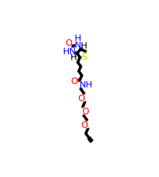 C#CCCOCCOCCOCCNC(=O)CCCCC1SC[C@H]2NC(=O)N[C@@H]12